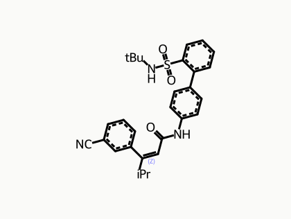 CC(C)/C(=C/C(=O)Nc1ccc(-c2ccccc2S(=O)(=O)NC(C)(C)C)cc1)c1cccc(C#N)c1